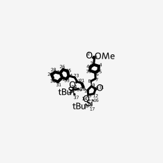 COC(=O)c1ccc(CC[C@H]2C(=O)C[C@@H](O[Si](C)(C)C(C)(C)C)[C@@H]2/C=C/C(Cc2ccc3ccccc3c2)O[Si](C)(C)C(C)(C)C)cc1